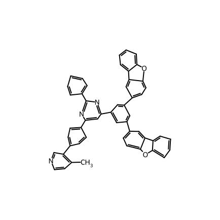 Cc1ccncc1-c1ccc(-c2cc(-c3cc(-c4ccc5oc6ccccc6c5c4)cc(-c4ccc5oc6ccccc6c5c4)c3)nc(-c3ccccc3)n2)cc1